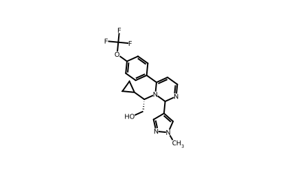 Cn1cc(C2N=CC=C(c3ccc(OC(F)(F)F)cc3)N2[C@H](CO)C2CC2)cn1